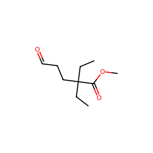 CCC(CC)(CCC=O)C(=O)OC